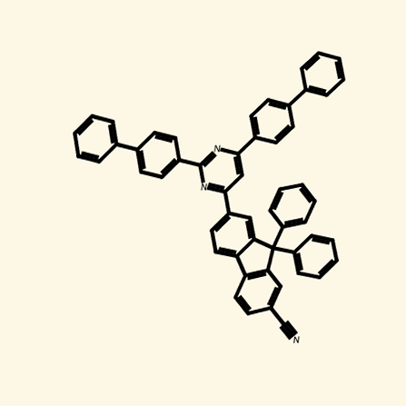 N#Cc1ccc2c(c1)C(c1ccccc1)(c1ccccc1)c1cc(-c3cc(-c4ccc(-c5ccccc5)cc4)nc(-c4ccc(-c5ccccc5)cc4)n3)ccc1-2